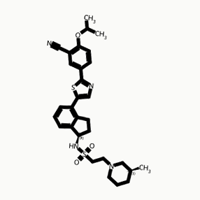 CC(C)Oc1ccc(-c2ncc(-c3cccc4c3CC[C@H]4NS(=O)(=O)CCN3CCC[C@H](C)C3)s2)cc1C#N